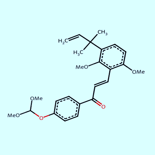 C=CC(C)(C)c1ccc(OC)c(C=CC(=O)c2ccc(OC(OC)OC)cc2)c1OC